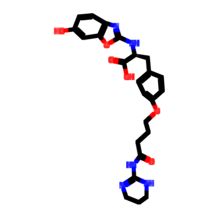 O=C(CCCOc1ccc(C[C@H](Nc2nc3ccc(O)cc3o2)C(=O)O)cc1)NC1=NCCCN1